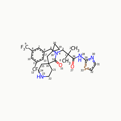 CC(C)(CN(Cc1cc(C(F)(F)F)cc(C(F)(F)F)c1)C(=O)C1(CC2CC2)CCNCC1)C(=O)Nc1nccs1